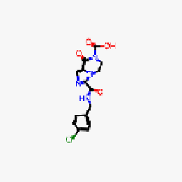 O=C(NCc1ccc(Cl)cc1)c1ncc2n1CCN(C(=O)O)C2=O